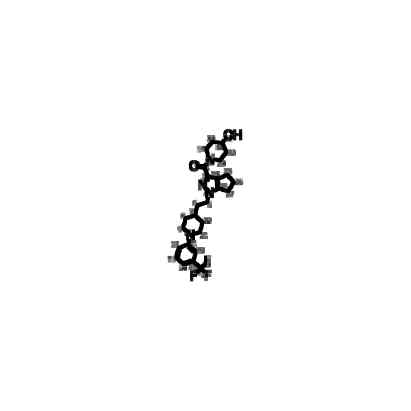 O=C(c1nn(CCC2CCN(c3cccc(C(F)(F)F)c3)CC2)c2c1CCC2)N1CCC(O)CC1